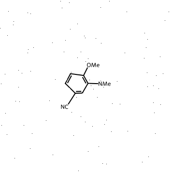 CNc1cc(C#N)ccc1OC